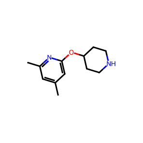 Cc1cc(C)nc(OC2CCNCC2)c1